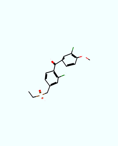 CCS(=O)(=O)Cc1ccc(C(=O)c2ccc(OC)c(F)c2)c(Br)c1